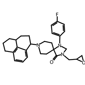 O=C1N(CC2CO2)CN(c2ccc(F)cc2)C12CCN(C1CCC3CCCc4cccc1c43)CC2